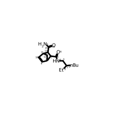 CCCCC(CC)CNC(=O)C1C2C=CC(C2)C1C(N)=O